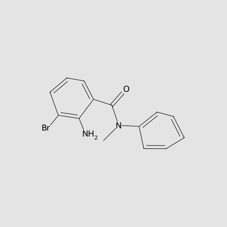 CN(C(=O)c1cccc(Br)c1N)c1ccccc1